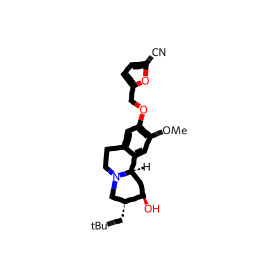 COc1cc2c(cc1OCc1ccc(C#N)o1)CCN1C[C@@H](CC(C)(C)C)[C@H](O)C[C@H]21